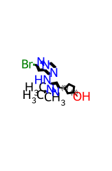 CC(C)(C)n1nc([C@H]2CC[C@@H](O)C2)cc1Nc1nccn2nc(Br)cc12